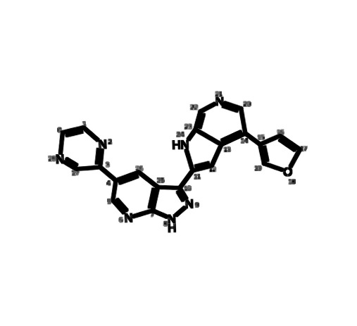 c1cnc(-c2cnc3[nH]nc(-c4cc5c(-c6ccoc6)cncc5[nH]4)c3c2)cn1